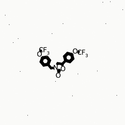 O=C1OC(c2ccc(OC(F)(F)F)cc2)CN1Cc1ccc(OC(F)(F)F)cc1